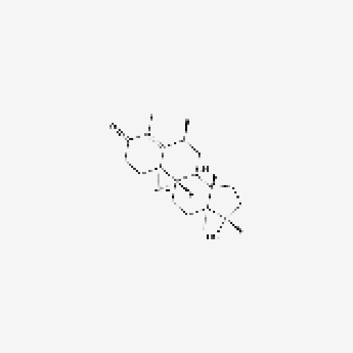 CC1=C2[C@@H](C)C[C@@H]3[C@H](CC[C@@]4(C)[C@H]3CC[C@]4(C)O)[C@@]2(C=O)CCC1=O